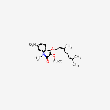 CCCCCCCCOc1c(OCC=C(C)CCC=C(C)C)c2ccc([N+](=O)[O-])cc2n(C)c1=O